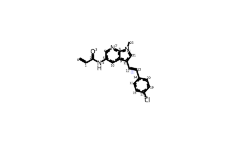 C=CC(=O)Nc1cnc2c(c1)c(/C=C/c1ccc(Cl)cc1)cn2C